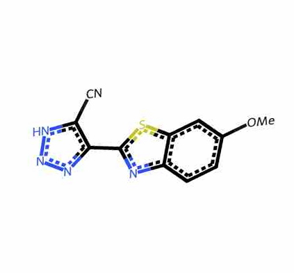 COc1ccc2nc(-c3nn[nH]c3C#N)sc2c1